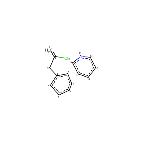 C=C(Cl)Cc1ccccc1.c1ccncc1